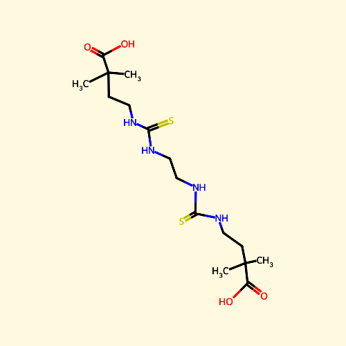 CC(C)(CCNC(=S)NCCNC(=S)NCCC(C)(C)C(=O)O)C(=O)O